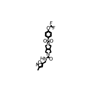 Cc1cc(CNC(=O)N2CC3=C(C2)CN(S(=O)(=O)c2ccc(OC(F)F)cc2)C3)on1